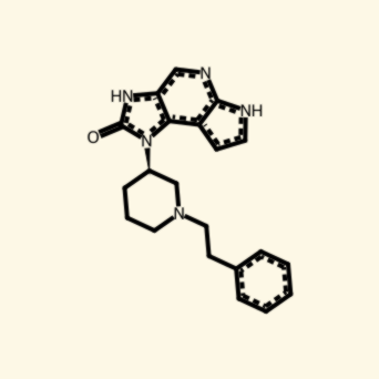 O=c1[nH]c2cnc3[nH]ccc3c2n1[C@@H]1CCCN(CCc2ccccc2)C1